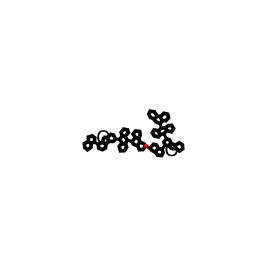 c1ccc2c(-c3cccc4c3oc3ccc(-c5c6ccccc6c(-c6cc7ccc(-c8ccc9c(-c%10cc(-c%11c%12ccccc%12c(-c%12cc%13ccccc%13c%13ccccc%12%13)c%12ccccc%11%12)cc%11c%10oc%10ccccc%10%11)cccc9c8)cc7c7ccccc67)c6ccccc56)cc34)cccc2c1